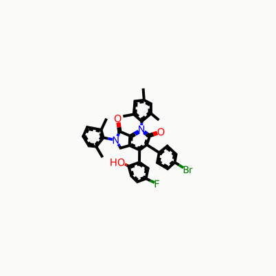 Cc1cc(C)c(-n2c3c(c(-c4cc(F)ccc4O)c(-c4ccc(Br)cc4)c2=O)CN(c2c(C)cccc2C)C3=O)c(C)c1